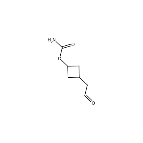 NC(=O)OC1CC(CC=O)C1